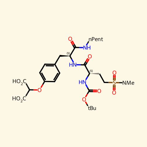 CCCCCNC(=O)[C@H](Cc1ccc(OC(C(=O)O)C(=O)O)cc1)NC(=O)[C@H](CCS(=O)(=O)NC)NC(=O)OC(C)(C)C